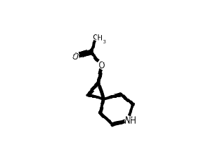 CC(=O)OC1CC12CCNCC2